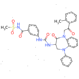 Cc1ccccc1C(=O)CN1C(=O)C(NC(=O)Nc2cccc(C(=O)NS(C)(=O)=O)c2)CN(c2ccccc2)c2ccccc21